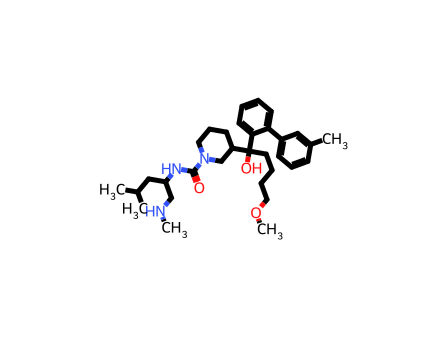 CNCC(CC(C)C)NC(=O)N1CCCC(C(O)(CCCCOC)c2ccccc2-c2cccc(C)c2)C1